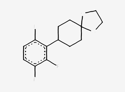 Fc1ccc(F)c(C2CCC3(CC2)OCCO3)c1F